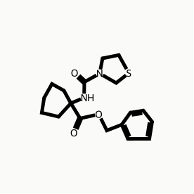 O=C(NC1(C(=O)OCc2ccccc2)CCCCC1)N1CCSC1